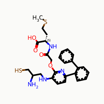 CSCC[C@H](NC(=O)COc1nc(-c2ccccc2-c2ccccc2)ccc1NCC(N)CS)C(=O)O